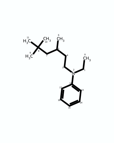 CCN(CCC(C)CC(C)(C)C)c1ccccc1